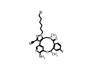 C[C@H]1Oc2cc(cnc2N)-c2c(C#N)nn(CCCCCCBr)c2CN(C)C(=O)c2ccc(F)cc21